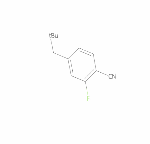 CC(C)(C)Cc1ccc(C#N)c(F)c1